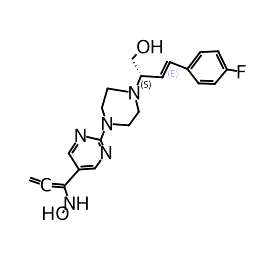 C=C=C(NO)c1cnc(N2CCN([C@@H](/C=C/c3ccc(F)cc3)CO)CC2)nc1